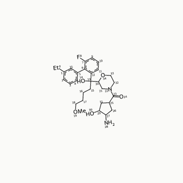 CCc1cccc(-c2c(F)cccc2C(O)(CCCCOC)C2CN(C(=O)C3CC(N)C(O)C3)CCO2)c1